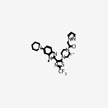 C[C@@H]1CN(c2sc(C(F)(F)F)nc2-c2nc3ccc(N4CCCCC4)cc3n2C)CCN1C(=O)Cn1cccn1